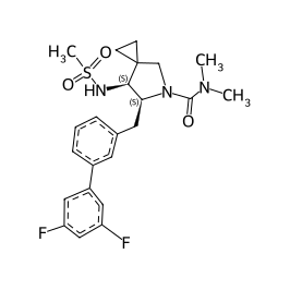 CN(C)C(=O)N1CC2(CC2)[C@H](NS(C)(=O)=O)[C@@H]1Cc1cccc(-c2cc(F)cc(F)c2)c1